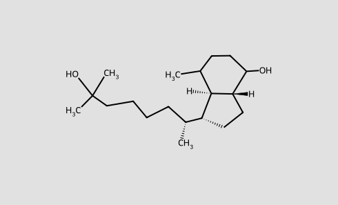 CC1CCC(O)[C@@H]2CC[C@H]([C@H](C)CCCCC(C)(C)O)[C@@H]12